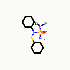 CCN(CC)P(N)(=O)N(SC1CCCCC1)C1CCCCC1